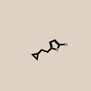 CCc1ccc(CCC2CC2)s1